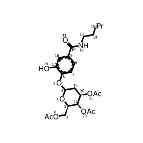 CC(=O)OC[C@H]1OC(Oc2ccc(C(=O)NCCC(C)C)cc2O)C[C@@H](OC(C)=O)[C@H]1OC(C)=O